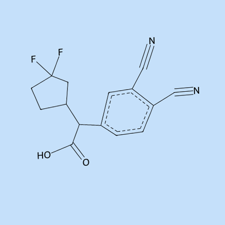 N#Cc1ccc(C(C(=O)O)C2CCC(F)(F)C2)cc1C#N